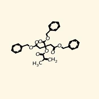 C=C(C)C(=O)OC(CC(=O)OCc1ccccc1)(CC(=O)OCc1ccccc1)C(=O)OCc1ccccc1